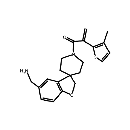 C=C(C(=O)N1CCC2(CC1)COc1ccc(CN)cc12)c1sccc1C